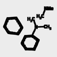 CN(C)c1ccccc1.CNC.c1ccccc1